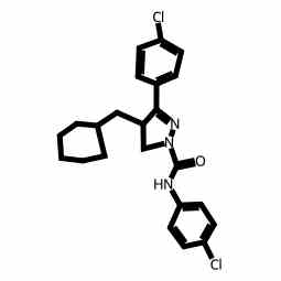 O=C(Nc1ccc(Cl)cc1)N1CC(CC2CCCCC2)C(c2ccc(Cl)cc2)=N1